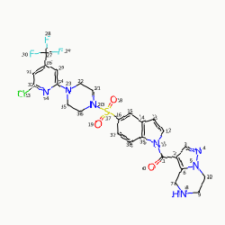 O=C(c1cnn2c1CNCC2)n1ccc2cc(S(=O)(=O)N3CCN(c4cc(C(F)(F)F)cc(Cl)n4)CC3)ccc21